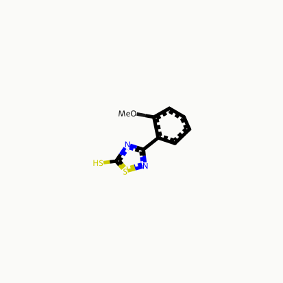 COc1ccccc1-c1nsc(S)n1